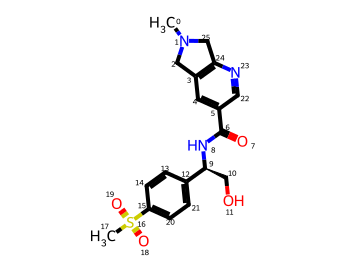 CN1Cc2cc(C(=O)N[C@@H](CO)c3ccc(S(C)(=O)=O)cc3)cnc2C1